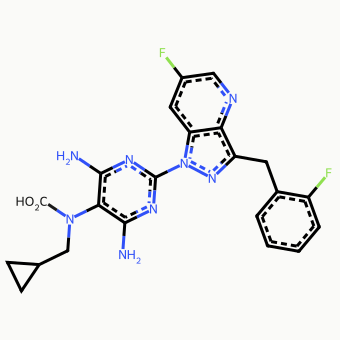 Nc1nc(-n2nc(Cc3ccccc3F)c3ncc(F)cc32)nc(N)c1N(CC1CC1)C(=O)O